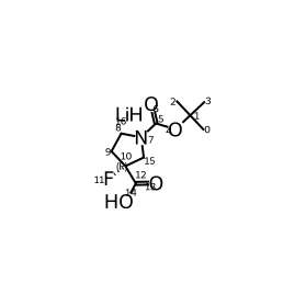 CC(C)(C)OC(=O)N1CC[C@](F)(C(=O)O)C1.[LiH]